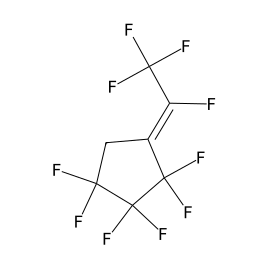 FC(=C1CC(F)(F)C(F)(F)C1(F)F)C(F)(F)F